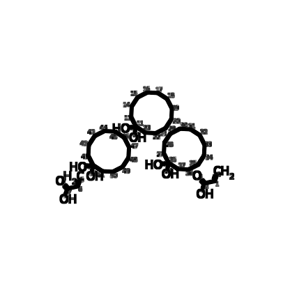 C=CC(=O)O.C=CC(=O)O.OC1(O)CCCCCCCCCCC1.OC1(O)CCCCCCCCCCC1.OC1(O)CCCCCCCCCCC1